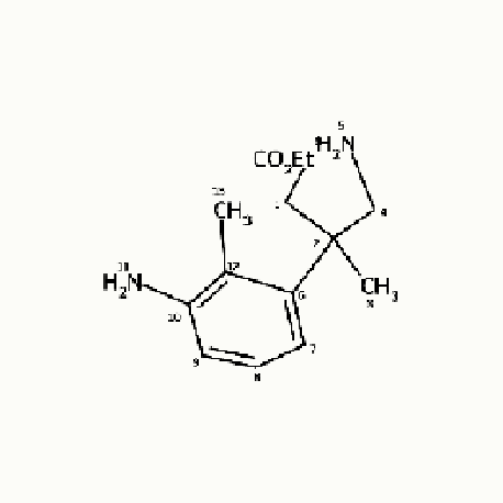 CCOC(=O)CC(C)(CN)c1cccc(N)c1C